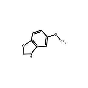 FC(F)(F)Sc1ccc2c(c1)NCO2